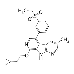 CCS(=O)(=O)c1cccc(-c2cnc(OCCC3CC3)c3[nH]c4ncc(C)cc4c23)c1